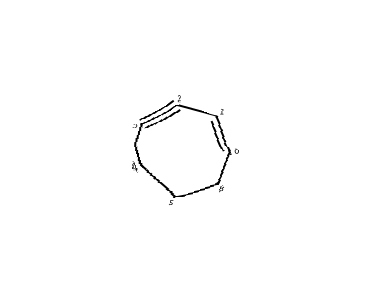 [C]1=CC#CCCC1